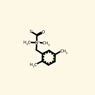 Cc1ccc(C)c(C[N+](C)(C)C(=O)[S-])c1